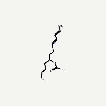 CC=C/C=C/CCC(CCCC)OC(C)=O